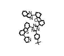 CC(C)(C)c1ccc(-c2nc(-c3cccc4c3oc3c(-c5ncc6ccccc6n5)cccc34)nc(-c3cccc4c3sc3c(-c5cccnc5)cccc34)n2)cc1